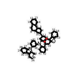 c1cc(-c2ccc3c(ccc4ccccc43)c2)cc(N(c2cccc(-n3c4ccccc4c4ccccc43)c2)c2ccccc2-c2ccc3c(c2)oc2ccccc23)c1